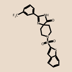 O=C1NC(c2cccc(C(F)(F)F)c2)=NC12CCN(S(=O)(=O)c1cc3ccccc3s1)CC2